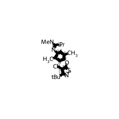 CNC(=Nc1cc(C)c(Oc2snc(C(C)(C)C)c2Cl)cc1C)C(C)C